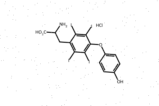 Cl.NC(Cc1c(I)c(I)c(Oc2ccc(O)cc2)c(I)c1I)C(=O)O